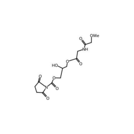 COCC(=O)NCC(=O)OCC(O)COC(=O)N1C(=O)CCC1=O